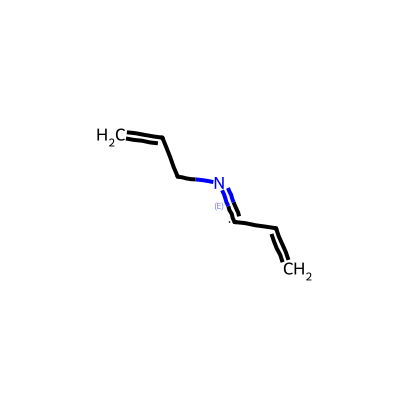 C=C/[C]=N/CC=C